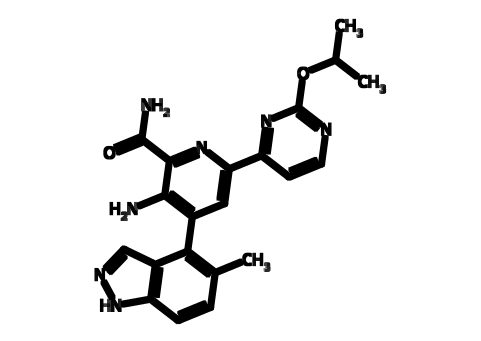 Cc1ccc2[nH]ncc2c1-c1cc(-c2ccnc(OC(C)C)n2)nc(C(N)=O)c1N